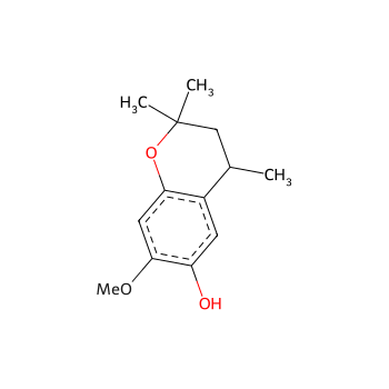 COc1cc2c(cc1O)C(C)CC(C)(C)O2